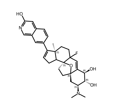 CN(C)[C@H]1C[C@@]23CC[C@]4(O2)C2CC=C(c5ccc6cc(O)ncc6c5)[C@@]2(C)CCC4(F)C=C3[C@@H](O)[C@@H]1O